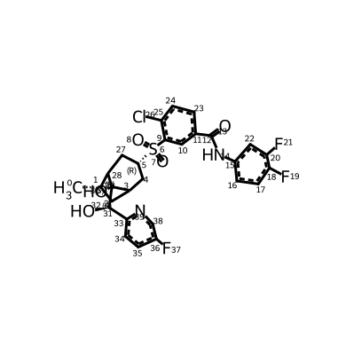 C[C@H]1CC2C[C@@H](S(=O)(=O)c3cc(C(=O)Nc4ccc(F)c(F)c4)ccc3Cl)CC1[C@@]2(O)[C@H](O)c1ccc(F)cn1